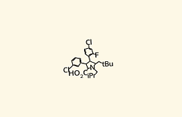 CC(C)CN1C(CC(C)(C)C)C(c2ccc(Cl)cc2F)C(c2cccc(Cl)c2)C1C(=O)O